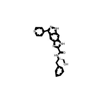 O=C(N[C@H](CO)Cc1ccccc1)c1nc2cc3c(-c4ccncc4)n[nH]c3cc2[nH]1